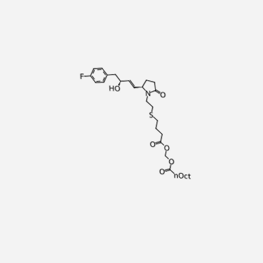 CCCCCCCCC(=O)OCOC(=O)CCCSCCN1C(=O)CC[C@@H]1/C=C/[C@@H](O)Cc1ccc(F)cc1